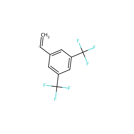 C=[C]c1cc(C(F)(F)F)cc(C(F)(F)F)c1